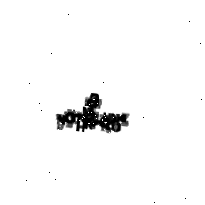 Cc1cc(-c2cnc3c(NCC4CCC(N(C)C)CC4)nc(C4=CCOCC4)cn23)ccc1C(=O)NC1CC1